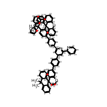 CC1(C)c2ccccc2C2(c3ccccc3Oc3cc(-c4ccc(-c5cc(-c6ccccn6)nc(-c6ccc(-c7ccc8c(c7)C7(c9ccccc9Oc9cccc(-c%10cccc(-c%11ccco%11)c%10)c97)c7ccccc7C8(C)C)cn6)c5)cc4)ccc32)c2ccccc21